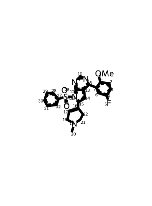 COc1ccc(F)cc1-c1ncnc2c1cc(C1=CCN(C)CC1)n2S(=O)(=O)c1ccccc1